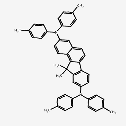 Cc1ccc(N(c2ccc(C)cc2)c2ccc3c(c2)C(C)(C)c2c-3ccc3cc(N(c4ccc(C)cc4)c4ccc(C)cc4)ccc23)cc1